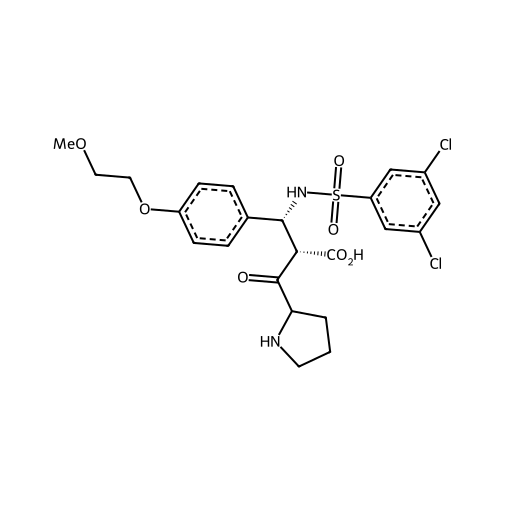 COCCOc1ccc([C@H](NS(=O)(=O)c2cc(Cl)cc(Cl)c2)[C@H](C(=O)O)C(=O)C2CCCN2)cc1